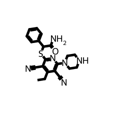 CCc1c(C#N)c(SC(C(N)=O)c2ccccc2)nc(N2CCNCC2)c1C#N